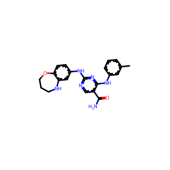 Cc1cccc(Nc2nc(Nc3ccc4c(c3)NCCCO4)ncc2C(N)=O)c1